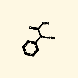 CCCCCCN(C(=O)NC)c1ccccc1